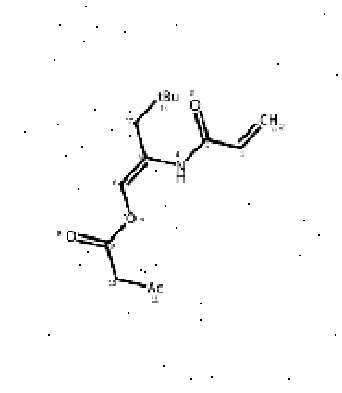 C=CC(=O)NC(=COC(=O)CC(C)=O)CC(C)(C)C